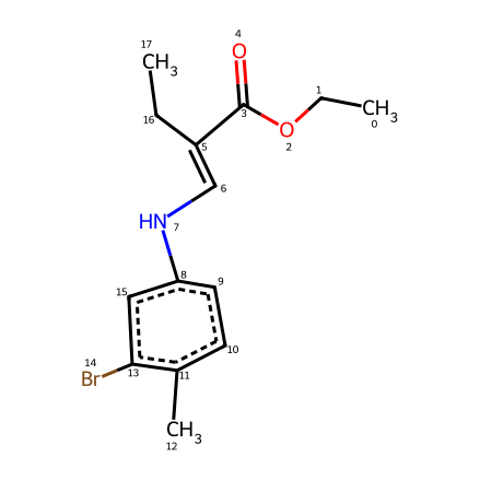 CCOC(=O)/C(=C/Nc1ccc(C)c(Br)c1)CC